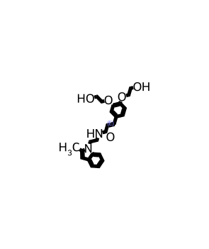 Cc1cc2ccccc2n1CCNC(=O)/C=C/c1ccc(OCCO)c(OCCO)c1